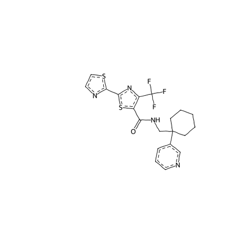 O=C(NCC1(c2cccnc2)CCCCC1)c1sc(-c2nccs2)nc1C(F)(F)F